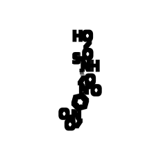 O=C1OCCN1c1ccc(N2C[C@H](CNC(=S)OCCO)OC2=O)cc1